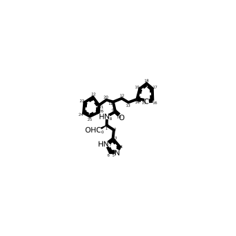 O=C[C@H](Cc1cnc[nH]1)NC(=O)C(CCc1ccccc1)Cc1ccccc1